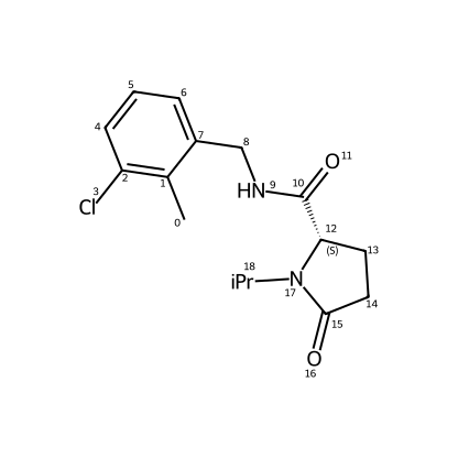 Cc1c(Cl)cccc1CNC(=O)[C@@H]1CCC(=O)N1C(C)C